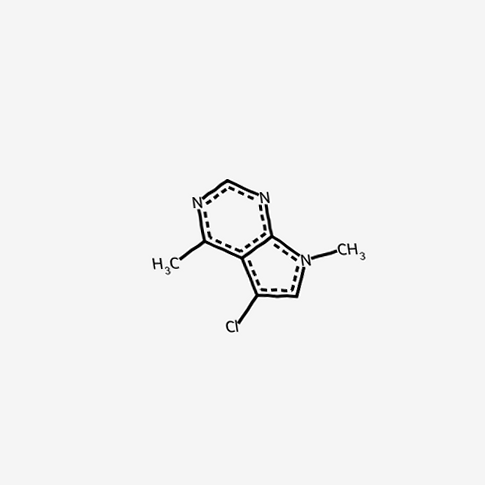 Cc1ncnc2c1c(Cl)cn2C